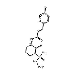 NP(=O)(NS(=O)(=O)O)N1CCC[C@@H](NC(=O)OCc2ccc(Br)cc2)C1=O